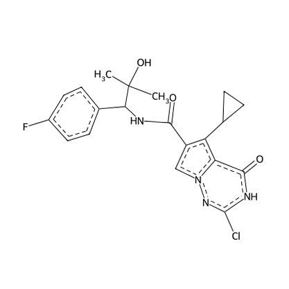 CC(C)(O)C(NC(=O)c1cn2nc(Cl)[nH]c(=O)c2c1C1CC1)c1ccc(F)cc1